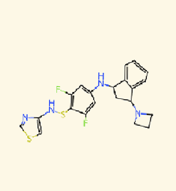 Fc1cc(NC2CC(N3CCC3)c3ccccc32)cc(F)c1SNc1cscn1